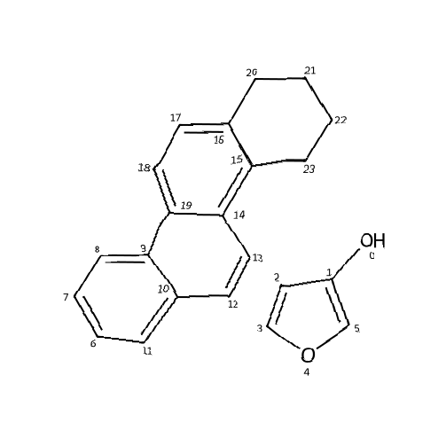 Oc1ccoc1.c1ccc2c(c1)ccc1c3c(ccc12)CCCC3